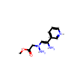 COC(=O)CN(N)/C=C(\N)c1cccnc1